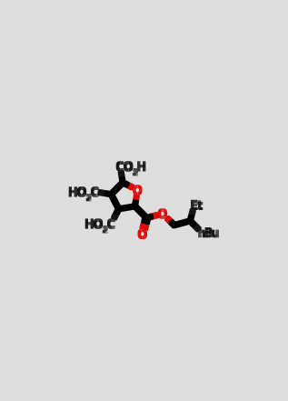 CCCCC(CC)COC(=O)C1OC(C(=O)O)C(C(=O)O)C1C(=O)O